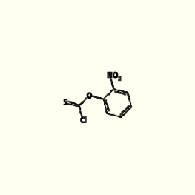 O=[N+]([O-])c1ccccc1OC(=S)Cl